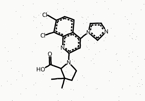 CC1(C)CCN(c2cc(-n3ccnc3)c3ccc(Cl)c(Cl)c3n2)C1C(=O)O